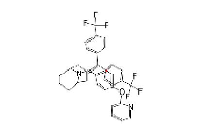 FC(F)(F)c1ccc(C(=C2CC3CCCC(C2)N3Cc2ccc(Oc3ccccn3)cc2)c2ccc(C(F)(F)F)cc2)cc1